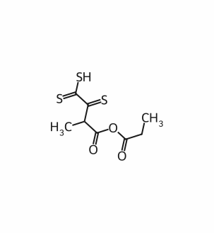 CCC(=O)OC(=O)C(C)C(=S)C(=S)S